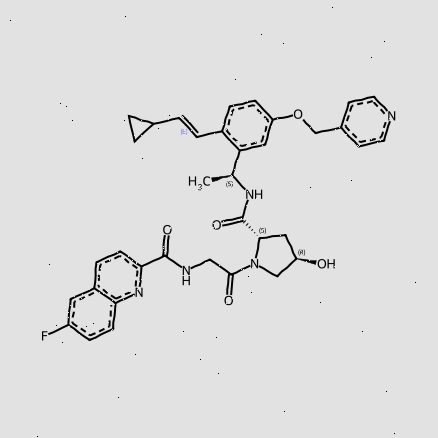 C[C@H](NC(=O)[C@@H]1C[C@@H](O)CN1C(=O)CNC(=O)c1ccc2cc(F)ccc2n1)c1cc(OCc2ccncc2)ccc1/C=C/C1CC1